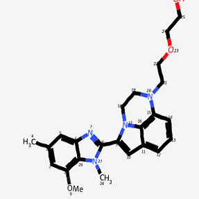 COc1cc(C)cc2nc(-c3cc4cccc5c4n3CCN5CCOCCO)n(C)c12